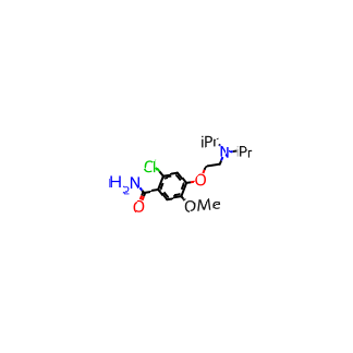 COc1cc(C(N)=O)c(Cl)cc1OCCN(C(C)C)C(C)C